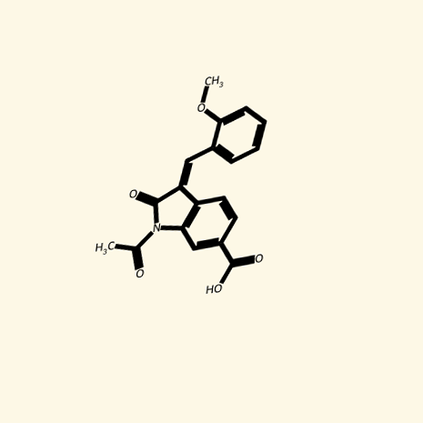 COc1ccccc1C=C1C(=O)N(C(C)=O)c2cc(C(=O)O)ccc21